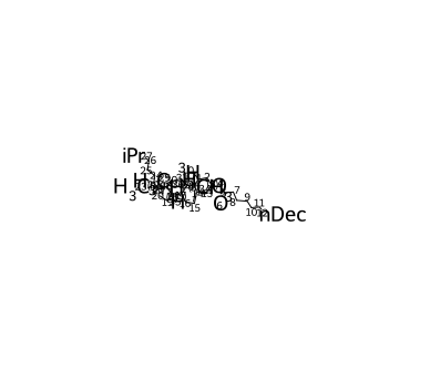 [3H]C1C[C@H](OC(=O)CCCCCCCCCCCCCCC)CC2=CC[C@H]3[C@@H]4CC[C@H]([C@H](C)CCCC(C)C)[C@@]4(C)CC[C@@H]3[C@]21C